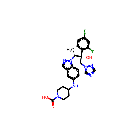 C[C@@H](n1ncc2cc(NC3CCN(C(=O)O)CC3)ccc21)[C@](O)(Cn1cncn1)c1ccc(F)cc1F